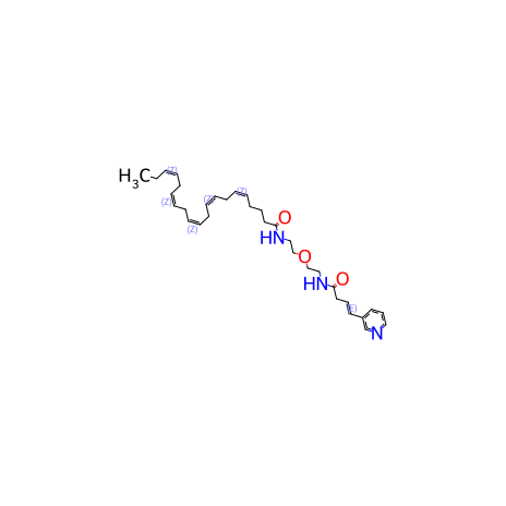 CC/C=C\C/C=C\C/C=C\C/C=C\C/C=C\CCCC(=O)NCCOCCNC(=O)C/C=C/c1cccnc1